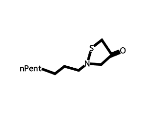 CCCCCCCCN1CC(=O)CS1